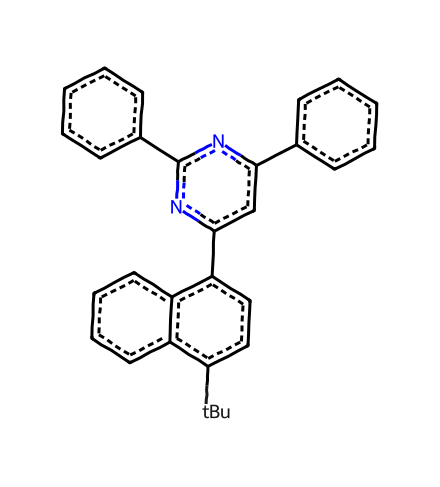 CC(C)(C)c1ccc(-c2cc(-c3ccccc3)nc(-c3ccccc3)n2)c2ccccc12